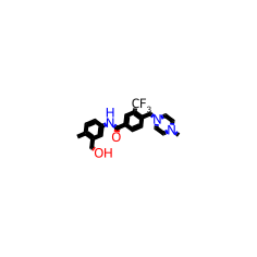 Cc1ccc(NC(=O)c2ccc(CN3CCN(C)CC3)c(C(F)(F)F)c2)cc1CO